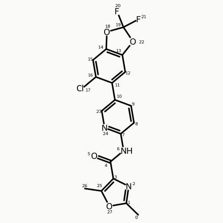 Cc1nc(C(=O)Nc2ccc(-c3cc4c(cc3Cl)OC(F)(F)O4)cn2)c(C)o1